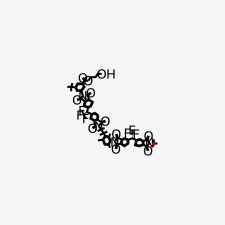 Cc1cc(C)c(C(C)(C)C(C)(C)N2C(=O)c3ccc([C@H](c4ccc5c(c4)C(=O)N(c4cc(C(=O)OCCCO)cc(C(C)(C)C)c4)C5=O)C(F)(F)F)cc3C2=O)c(C)c1N1C(=O)c2ccc([C@@H](c3ccc4c(c3)C(=O)N(C(C)(C)C)C4=O)C(F)(F)F)cc2C1=O